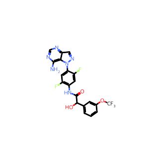 Nc1ncnc2cnn(-c3cc(F)c(NC(=O)C(O)c4cccc(OC(F)(F)F)c4)cc3F)c12